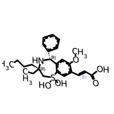 CCCC[C@]1(CC)CS(O)(O)c2cc(/C=C/C(=O)O)c(OC)cc2[C@@H](c2ccccc2)N1